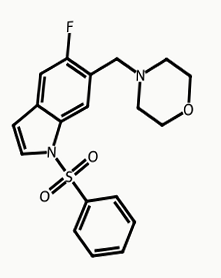 O=S(=O)(c1ccccc1)n1ccc2cc(F)c(CN3CCOCC3)cc21